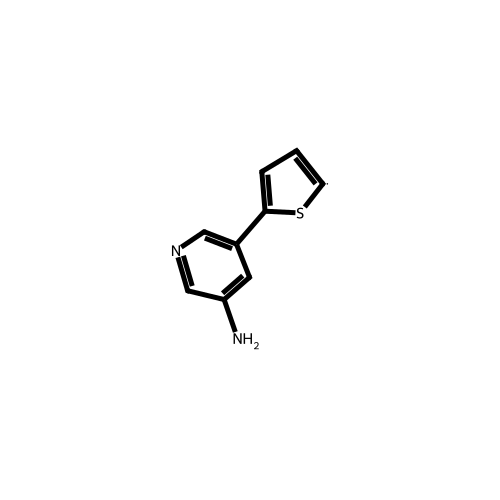 Nc1cncc(-c2cc[c]s2)c1